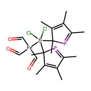 CC1=P[C](C)([Zr]([Cl])([Cl])([C]2(C)P=C(C)C(C)=C2C)[Fe]([CH]=O)([CH]=O)[CH]=O)C(C)=C1C